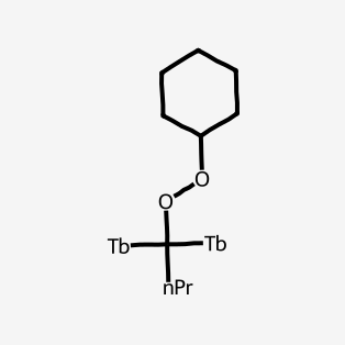 CCC[C]([Tb])([Tb])OOC1CCCCC1